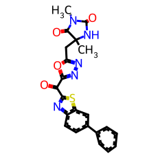 CN1C(=O)NC(C)(Cc2nnc(C(=O)c3nc4ccc(-c5ccccc5)cc4s3)o2)C1=O